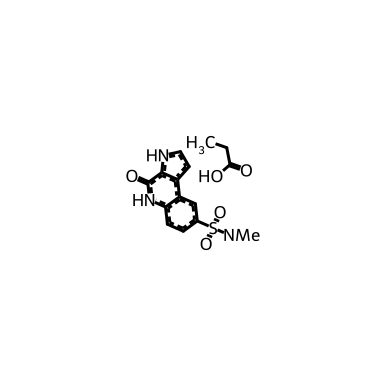 CCC(=O)O.CNS(=O)(=O)c1ccc2[nH]c(=O)c3[nH]ccc3c2c1